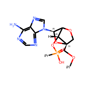 CC(C)OC[C@@]12COC([C@H](n3cnc4c(N)ncnc43)O1)[C@H]2OP(=O)(O)C(C)C